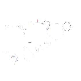 COCC[C@@]1(C)CC/C=C/[C@](CN2CCN(Cc3noc(C)n3)CC2)(OC)[C@@H]2CC[C@H]2CN2CCCCc3cc(Cl)ccc3COc3ccc(nc32)C(=O)NS1(=O)=O